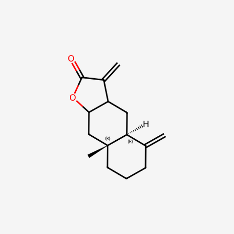 C=C1C(=O)OC2C[C@@]3(C)CCCC(=C)[C@@H]3CC12